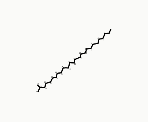 [CH2]CCCCCCCCCCCCCCCCCCCCCCCC([CH2])C